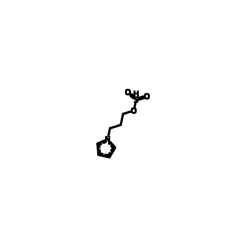 O=[SH](=O)OCCCn1cccc1